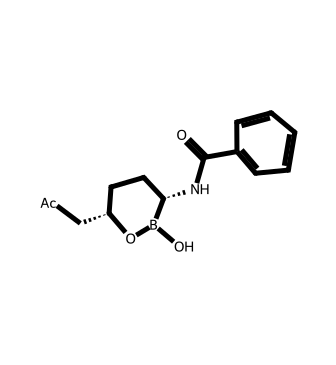 CC(=O)C[C@@H]1CC[C@H](NC(=O)c2ccccc2)B(O)O1